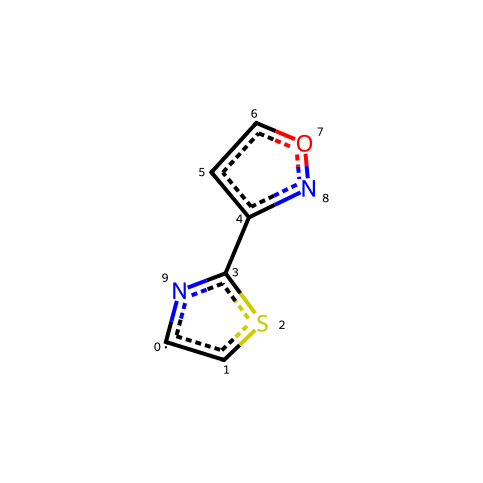 [c]1csc(-c2ccon2)n1